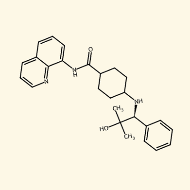 CC(C)(O)[C@@H](NC1CCC(C(=O)Nc2cccc3cccnc23)CC1)c1ccccc1